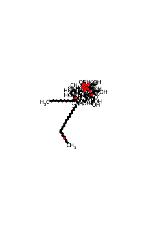 CCCCCCCC/C=C\CCCCCCCCCCCCCCCC(=O)N[C@@H](CO[C@@H]1OC(CO)[C@@H](O[C@@H]2OC(CO)[C@H](O)[C@H](O[C@@H]3OC(CO)[C@@H](O)[C@H](O[C@@H]4OC(CO)[C@H](O)[C@H](O[C@@H]5OC(CO)[C@@H](O)[C@H](O[C@@H]6OC(CO)[C@H](O)[C@H](O[C@H]7OC(CO)[C@H](O)[C@H](O)C7NC(C)=O)C6O[C@H]6OC(C)[C@@H](O)C(O)[C@@H]6O)C5NC(C)=O)C4O)C3NC(C)=O)C2O)[C@H](O)C1O)[C@H](O)/C=C/CCCCCCCCCCCCC